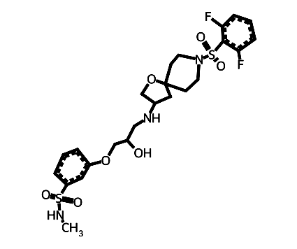 CNS(=O)(=O)c1cccc(OCC(O)CNC2COC3(CCN(S(=O)(=O)c4c(F)cccc4F)CC3)C2)c1